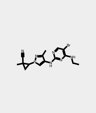 CCNc1nc(Nc2cn(C3CC3(C)C#N)nc2C)ncc1Br